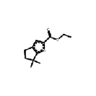 CCOC(=O)c1cc2c(s1)C(C)(C)CC2